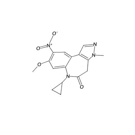 COc1cc2c(cc1[N+](=O)[O-])-c1cnn(C)c1CC(=O)N2C1CC1